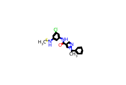 CSNc1cc(Cl)cc(NC(=O)c2cnn(C(C)c3ccccc3)c2)c1